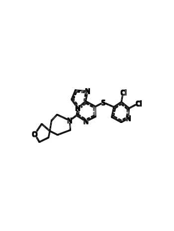 Clc1nccc(Sc2cnc(N3CCC4(CCOC4)CC3)n3ccnc23)c1Cl